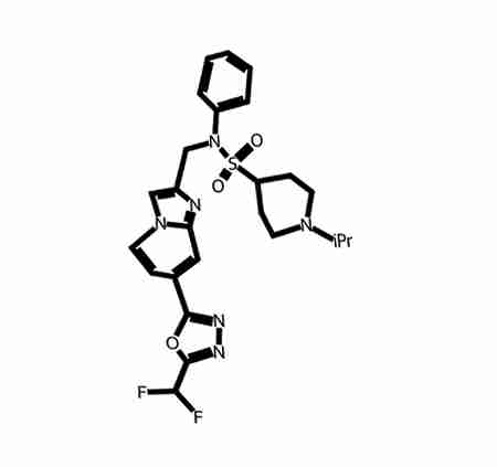 CC(C)N1CCC(S(=O)(=O)N(Cc2cn3ccc(-c4nnc(C(F)F)o4)cc3n2)c2ccccc2)CC1